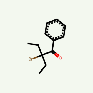 CCC(Br)(CC)C(=O)c1ccccc1